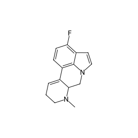 CN1CCC=C2c3ccc(F)c4ccn(c34)CC21